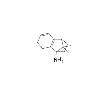 CC1(C)C2CCC1(N)C1=C2C=CCC1